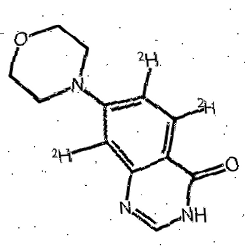 [2H]c1c(N2CCOCC2)c([2H])c2nc[nH]c(=O)c2c1[2H]